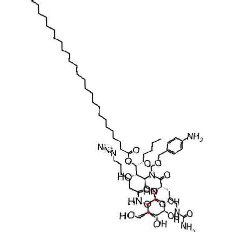 CCCCCCCCCCCCCCCCCCCCCCCCCC(=O)O[C@H](CCCCC)[C@@H](O)[C@H](CO[C@H]1O[C@H](CO)[C@H](O)[C@H](O)[C@H]1O)N(C(=O)OCc1ccc(N)cc1)C(=O)[C@H](CCCNC(N)=O)NC(=O)[C@@H](NC(=O)CCCCCN=[N+]=[N-])C(C)C